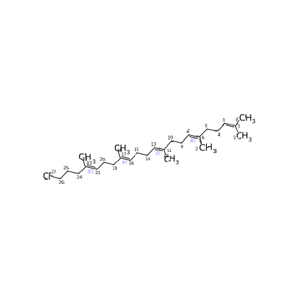 CC(C)=CCC/C(C)=C/CC/C(C)=C/CC/C=C(\C)CC/C=C(\C)CCCCl